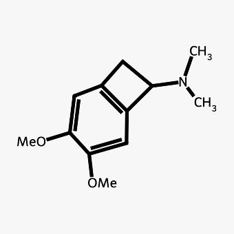 COc1cc2c(cc1OC)C(N(C)C)C2